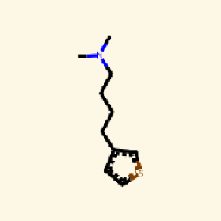 CN(C)CCCCc1ccsc1